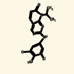 CC(C)n1c(=O)ccc2cnc(Nc3cc(Cl)c(O)c(Cl)c3)nc21